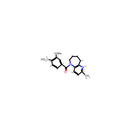 COc1cc(C(=O)N2CCCCc3nc(C)ccc32)ccc1C(=O)O